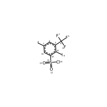 Cc1cc(C(F)(F)F)c(I)c(S(=O)(=O)Cl)c1